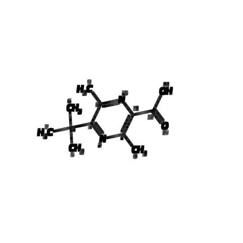 Cc1nc(C(C)(C)C)c(C)nc1C(=O)O